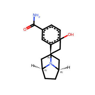 NC(=O)c1cccc([C@H]2C[C@H]3CC[C@@H](C2)N3CCCO)c1